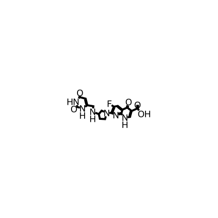 O=C(O)c1c[nH]c2nc(N3CCC(NCc4cc(=O)[nH]c(=O)[nH]4)C3)c(F)cc2c1=O